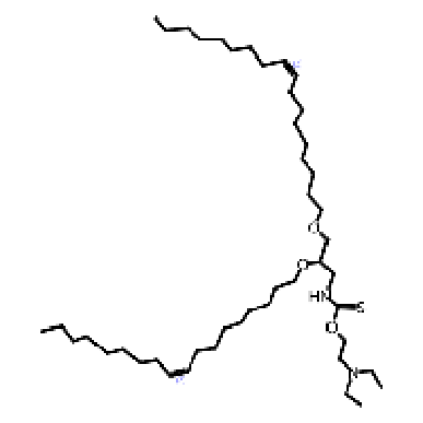 CCCCCCCC/C=C\CCCCCCCCOCC(CNC(=S)OCCN(CC)CC)OCCCCCCCC/C=C\CCCCCCCC